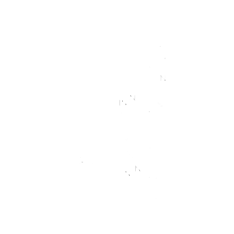 CC(C)[Si](C#Cc1nn(C2CCCCO2)c2ccc(-c3c[nH]nc3O[C@@H](C)CNC(=O)OC(C)(C)C)cc12)(C(C)C)C(C)C